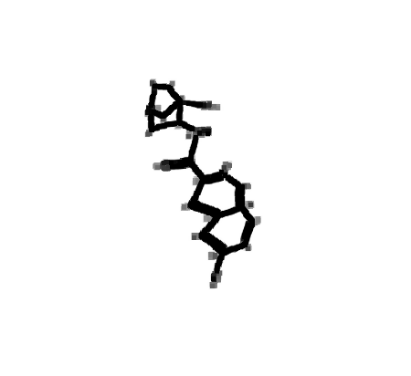 O=C(NC1CN2CC[C@H]1C2)c1cc2cc(Cl)ccc2cn1